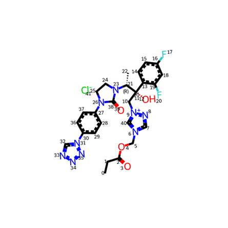 CCC(=O)OCn1cn[n+](C[C@](O)(c2ccc(F)cc2F)[C@@H](C)N2CCN(c3ccc(-n4cnnn4)cc3)C2=O)c1.[Cl-]